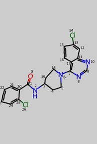 O=C(NC1CCN(c2ncnc3cc(Cl)ccc23)CC1)c1ccccc1Cl